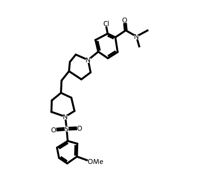 COc1cccc(S(=O)(=O)N2CCC(CC3CCN(c4ccc(C(=O)N(C)C)c(Cl)c4)CC3)CC2)c1